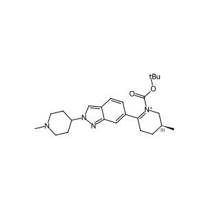 C[C@H]1CCC(c2ccc3cn(C4CCN(C)CC4)nc3c2)=[N+](C(=O)OC(C)(C)C)C1